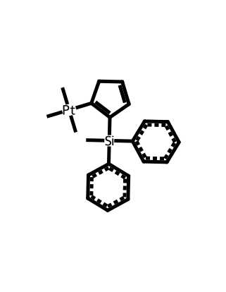 C[Si](C1=[C]([Pt]([CH3])([CH3])[CH3])CC=C1)(c1ccccc1)c1ccccc1